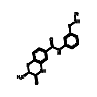 CC(C)NSc1cccc(NC(=O)c2ccc3c(c2)NC(=O)[C@@H](C)S3)c1